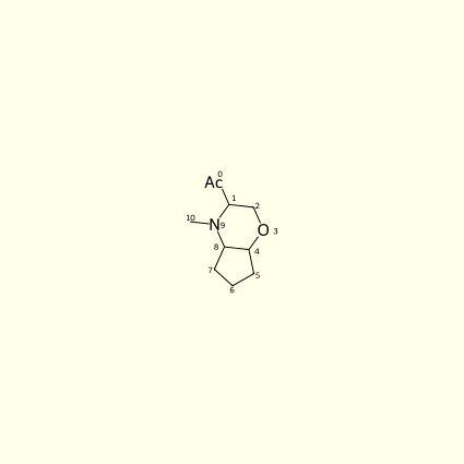 CC(=O)C1COC2CCCC2N1C